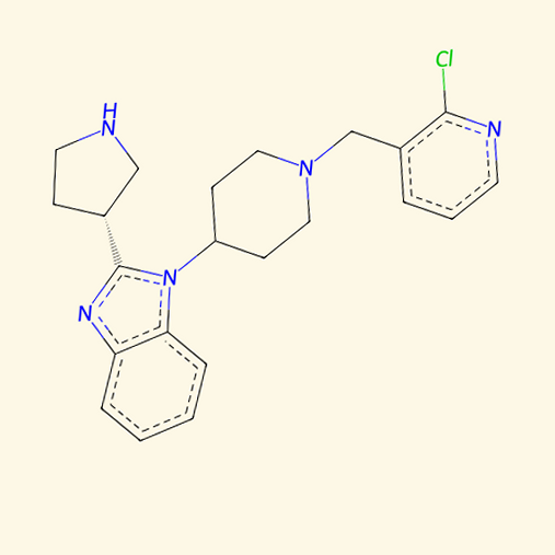 Clc1ncccc1CN1CCC(n2c([C@@H]3CCNC3)nc3ccccc32)CC1